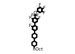 CCCCCCCCC1CCC(C2CCC(c3ccc(-c4cc(F)c(C(F)(F)Oc5cc(F)c(F)c(F)c5)c(F)c4)c(F)c3)CC2)CC1